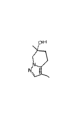 Cc1cnn2c1CCC(C)(O)C2